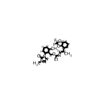 CC/C(=N/N=C(C)c1cccc2c1OC(F)(F)O2)OCc1c(C)cccc1-n1nnn(C)c1=O